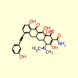 CN(C)C1C(O)=C(C(N)=O)C(=O)C2(O)C(O)=C3C(=O)c4c(O)ccc(C#Cc5cccc(O)c5)c4CC3CC12